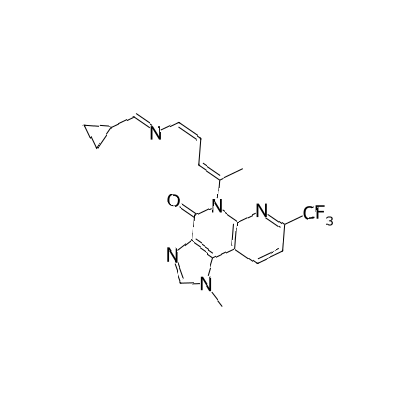 C\C(=C/C=C\N=C\C1CC1)n1c(=O)c2ncn(C)c2c2ccc(C(F)(F)F)nc21